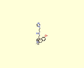 COc1ccc2c(c1)[C@@]1(CCNCCCn3ccnc3)CCN(C)[C@H](C2)[C@@H]1C